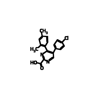 Cc1ccc(-c2nc(C(=O)O)ncc2-c2ccc(Cl)cc2)c(C)c1